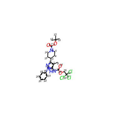 Cc1c(C2CCN(C(=O)OC(C)(C)C)CC2)nn(-c2ccccc2)c1NC(=O)OCC(Cl)(Cl)Cl